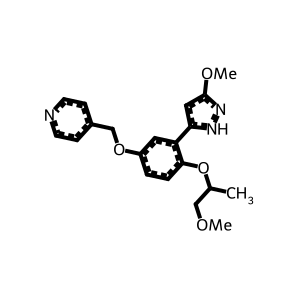 COCC(C)Oc1ccc(OCc2ccncc2)cc1-c1cc(OC)n[nH]1